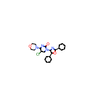 O=c1nc(N2CCOCC2)c(Cl)cn1-c1nc(-c2ccccc2)oc1-c1ccccc1